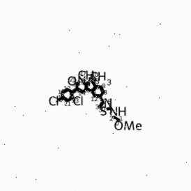 COCCNc1nc(-c2ccc3c(c2)c2cc(-c4ccc(Cl)cc4Cl)c(=O)n(C)c2n3C)cs1